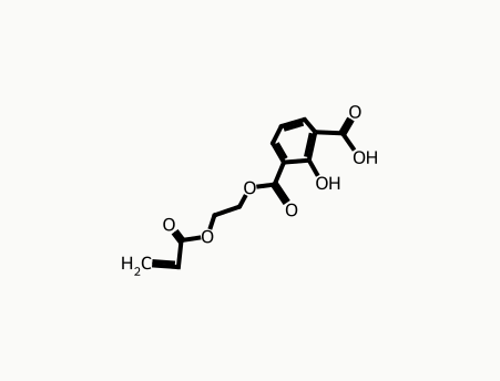 C=CC(=O)OCCOC(=O)c1cccc(C(=O)O)c1O